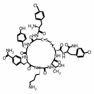 C[C@@H](O)[C@@H]1NC(=O)[C@H](CCCCN)NC(=O)[C@@H](Cc2ccc(C(N)=O)cc2)NC(=O)[C@H](Cc2ccc(O)cc2)NC(=O)[C@H](NC(=O)[C@@H](N)Cc2ccc(Cl)cc2)CSSC[C@@H](C(=O)NC(Cc2ccc(Cl)cc2)C(N)=O)NC1=O